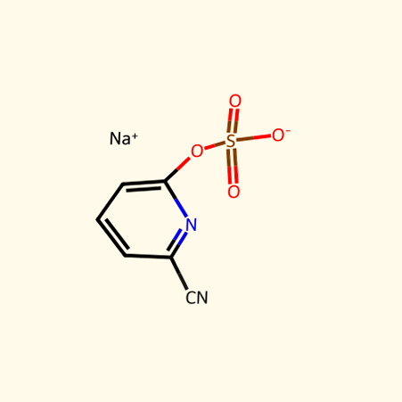 N#Cc1cccc(OS(=O)(=O)[O-])n1.[Na+]